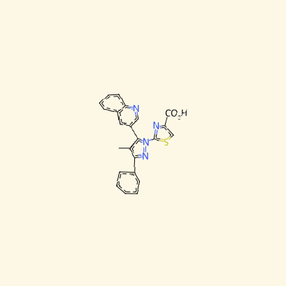 Cc1c(-c2ccccc2)nn(-c2nc(C(=O)O)cs2)c1-c1cnc2ccccc2c1